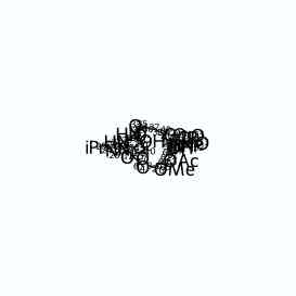 CO[C@H]1/C=C/O[C@@]2(C)Oc3c(C)c(O)c4c(c3C2=O)C2=NC3(CCN(CC(C)C)CC3)NC2=C(NC(=O)/C(C)=C\C=C\[C@H](C)[C@H](OC(=O)CN(C)C(=O)NC(P=O)P=O)[C@@H](C)[C@@H](O)[C@@H](C)[C@H](OC(C)=O)[C@@H]1C)C4=O